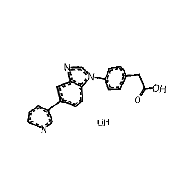 O=C(O)Cc1ccc(-n2cnc3cc(-c4cccnc4)ccc32)cc1.[LiH]